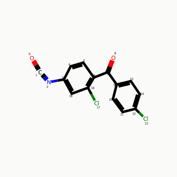 O=C=Nc1ccc(C(=O)c2ccc(Cl)cc2)c(Cl)c1